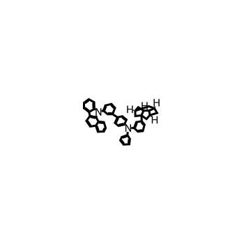 c1ccc(N(c2ccc(-c3cccc(-n4c5ccccc5c5ccc6ccccc6c54)c3)cc2)c2cccc(C34C[C@@H]5C[C@@H]6C[C@@H](C3)C6[C@@H]4C5)c2)cc1